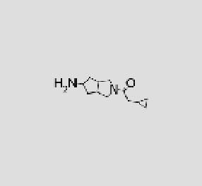 NC1CC2CN(C(=O)CC3CC3)CC2C1